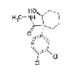 CNC(=O)[C@]1(c2ccc(Cl)c(Cl)c2)CCCC[C@@H]1O